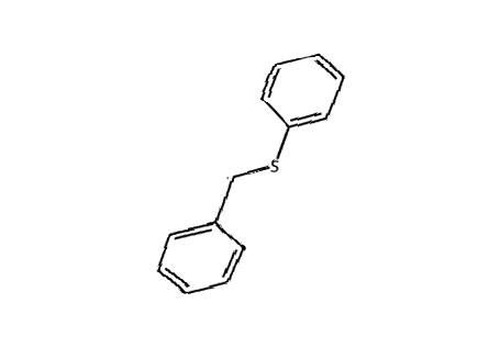 [CH](Sc1ccccc1)c1ccccc1